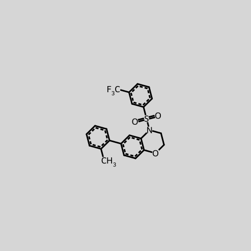 Cc1ccccc1-c1ccc2c(c1)N(S(=O)(=O)c1cccc(C(F)(F)F)c1)CCO2